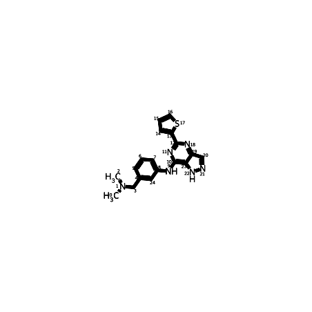 CN(C)Cc1cccc(Nc2nc(-c3cccs3)nc3cn[nH]c23)c1